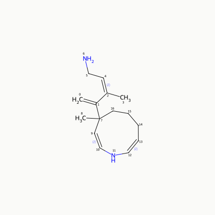 C=C(/C(C)=C\CN)C1(C)/C=C\N/C=C\CCC1